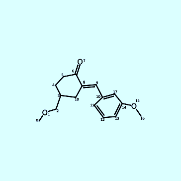 COCC1CCC(=O)C(=Cc2cccc(OC)c2)C1